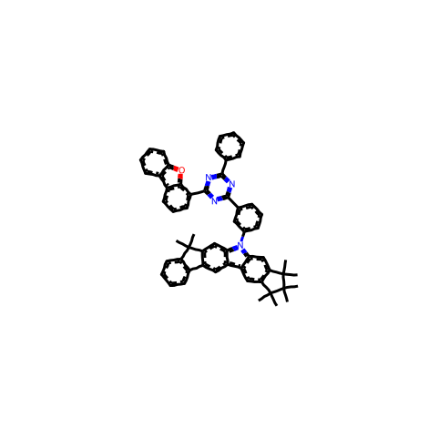 CC1(C)c2ccccc2-c2cc3c4cc5c(cc4n(-c4cccc(-c6nc(-c7ccccc7)nc(-c7cccc8c7oc7ccccc78)n6)c4)c3cc21)C(C)(C)C(C)(C)C5(C)C